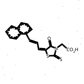 O=C(O)CN1C(=O)C(=CC=Cc2cccc3ccccc23)SC1=S